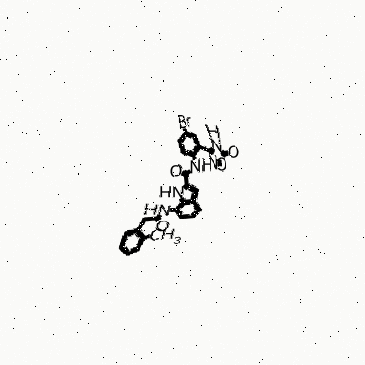 Cc1ccccc1CC(=O)Nc1cccc2cc(C(=O)Nc3ccc(Br)cc3-c3noc(=O)[nH]3)[nH]c12